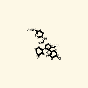 CC(=O)Nc1ccc(NC(=O)[C@@H]2N[C@@H](CC(C)(C)C)[C@](N)(c3ccc(Cl)cc3F)[C@H]2c2cccc(Cl)c2F)cn1